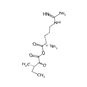 CCC(C)C(=O)C(=O)OC(=O)[C@@H](N)CCCNC(=N)N